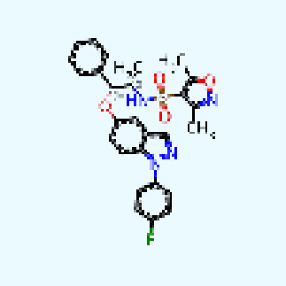 Cc1noc(C)c1S(=O)(=O)N[C@@H](C)[C@H](Oc1ccc2c(cnn2-c2ccc(F)cc2)c1)c1ccccc1